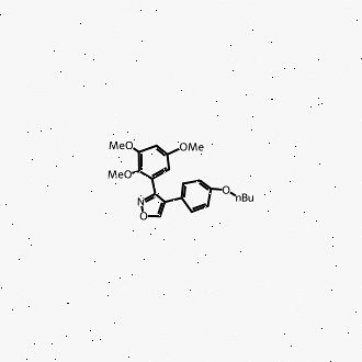 CCCCOc1ccc(-c2conc2-c2cc(OC)cc(OC)c2OC)cc1